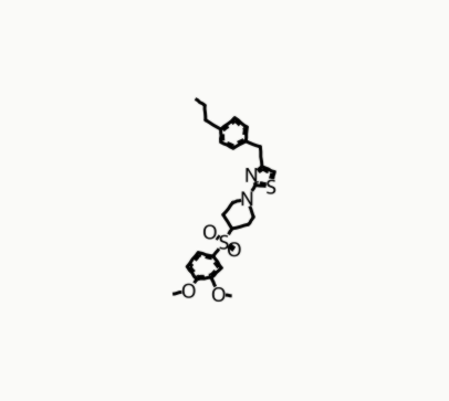 CCCc1ccc(Cc2csc(N3CCC(S(=O)(=O)c4ccc(OC)c(OC)c4)CC3)n2)cc1